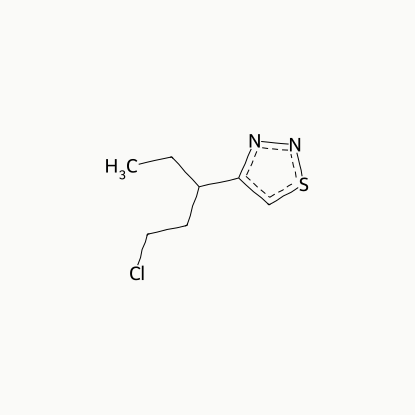 CCC(CCCl)c1csnn1